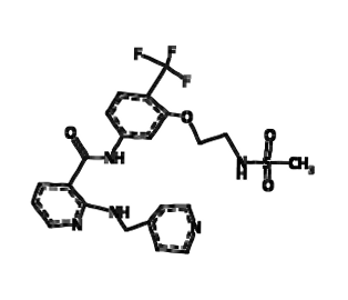 CS(=O)(=O)NCCOc1cc(NC(=O)c2cccnc2NCc2ccncc2)ccc1C(F)(F)F